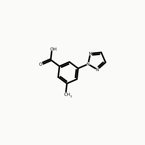 Cc1cc(C(=O)O)cc(-n2nccn2)c1